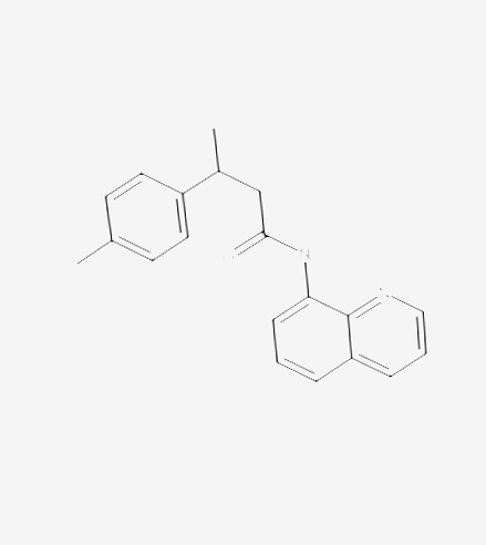 Cc1ccc(C(C)CC(=O)Nc2cccc3cccnc23)cc1